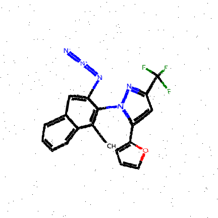 Cc1c(-n2nc(C(F)(F)F)cc2-c2ccco2)c(N=[N+]=[N-])cc2ccccc12